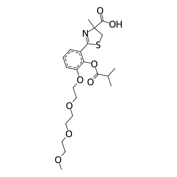 COCCOCCOCCOc1cccc(C2=NC(C)(C(=O)O)CS2)c1OC(=O)C(C)C